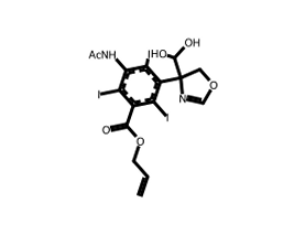 C=CCOC(=O)c1c(I)c(NC(C)=O)c(I)c(C2(C(O)O)COC=N2)c1I